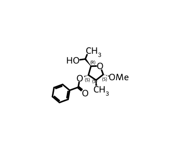 CO[C@H]1O[C@H](C(C)O)[C@@H](OC(=O)c2ccccc2)[C@@H]1C